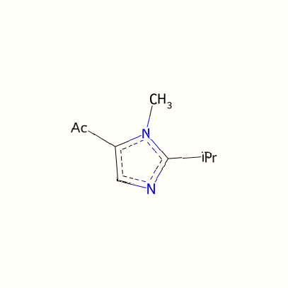 CC(=O)c1cnc(C(C)C)n1C